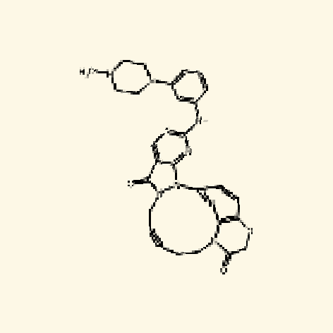 CN1CCN(c2cccc(Nc3ncc4c(=O)n5n(c4n3)-c3ccc4c(n3)N(CCC#CC5)C(=O)CO4)c2)CC1